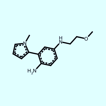 COCCNc1ccc(N)c(-c2cccn2C)c1